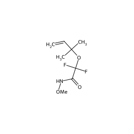 C=CC(C)(C)OC(F)(F)C(=O)NOC